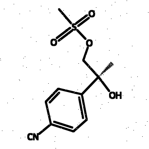 [C-]#[N+]c1ccc([C@](C)(O)COS(C)(=O)=O)cc1